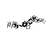 CC(C)(C)OC(=O)N1CCN(c2ncc(CC[C@H]3COC(C)(C)O3)cc2Cl)CC1